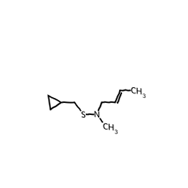 C/C=C/CN(C)SCC1CC1